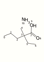 CCCC(C)(CC)C(=O)O.N